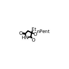 CCCCCOC1(CC)CC(=O)NC1=O